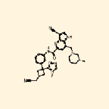 C[C@H]1CCCN(Cc2cc(C(=O)Nc3cccc(C4(c5nncn5C)CC(CC#N)C4)c3)nc3c(C#N)c[nH]c23)C1